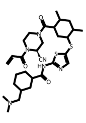 C=CC(=O)N1CCN(C(=O)C2CC(Sc3cnc(NC(=O)C4CCCC(CN(C)C)C4)s3)C(C)CC2C)C[C@H]1C#N